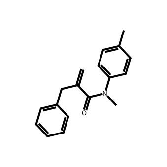 C=C(Cc1ccccc1)C(=O)N(C)c1ccc(C)cc1